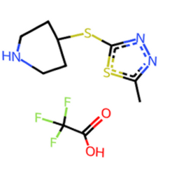 Cc1nnc(SC2CCNCC2)s1.O=C(O)C(F)(F)F